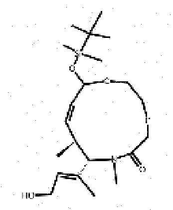 CC(=CCO)[C@@H]1[C@@H](C)C=CC(O[Si](C)(C)C(C)(C)C)CCCCCC(=O)N1C